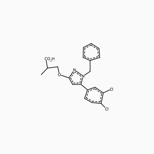 CC(COc1cc(-c2ccc(Cl)c(Cl)c2)n(Cc2ccccc2)n1)C(=O)O